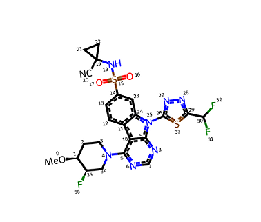 CO[C@H]1CCN(c2ncnc3c2c2ccc(S(=O)(=O)NC4(C#N)CC4)cc2n3-c2nnc(C(F)F)s2)C[C@H]1F